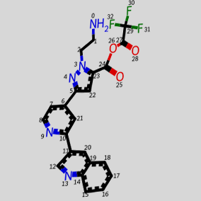 NCCn1nc(-c2ccnc(-c3cnc4ccccc4c3)c2)cc1C(=O)OC(=O)C(F)(F)F